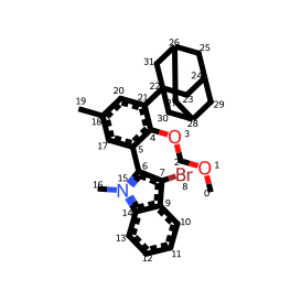 COCOc1c(-c2c(Br)c3ccccc3n2C)cc(C)cc1C12CC3CC(CC(C3)C1)C2